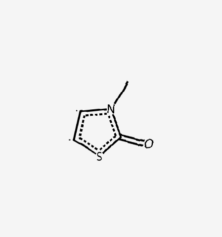 Cn1[c][c]sc1=O